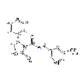 O=C(/C=C/c1cncc(C(F)(F)F)c1)N1C(=O)OCC1c1ccccc1